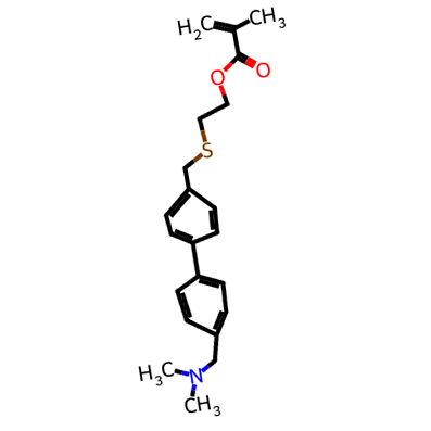 C=C(C)C(=O)OCCSCc1ccc(-c2ccc(CN(C)C)cc2)cc1